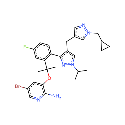 CC(C)n1cc(Cc2cnn(CC3CC3)c2)c(-c2ccc(F)cc2C(C)(C)Oc2cc(Br)cnc2N)n1